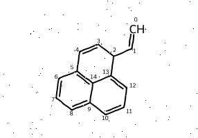 [CH]=CC1[C]=Cc2cccc3cccc1c23